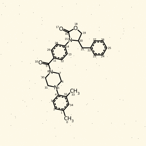 Cc1ccc(N2CCN(C(=O)c3ccc(N4C(=O)OCC4Cc4ccccc4)cc3)CC2)c(C)c1